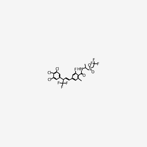 Cc1cc(/C=C/C(c2cc(Cl)c(Cl)c(Cl)c2)C(F)(F)F)cc(F)c1C(=O)NC(C)CS(=O)(=O)CC(F)(F)F